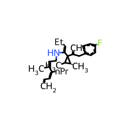 C=C/C=C(CCC)\C(C)=C/CN/C(=C\CC)C1(C(=C)Cc2ccc(F)cc2)C(C)[C@H]1C